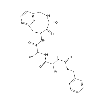 CC(C)C(NC(=O)OCc1ccccc1)C(=O)NC(C(=O)NC1Cc2nccc(n2)CNC(=O)C1=O)C(C)C